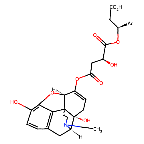 CC(=O)[C@H](CC(=O)O)OC(=O)[C@@H](O)CC(=O)OC1=CC[C@@]2(O)[C@H]3Cc4ccc(O)c5c4[C@@]2(CCN3C)[C@H]1O5